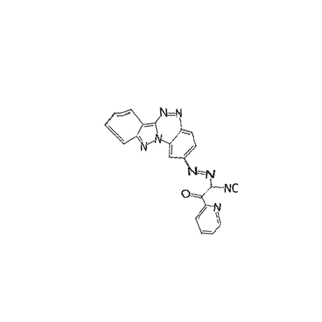 [C-]#[N+]C(/N=N/c1ccc2nnc3c4ccccc4nn3c2c1)C(=O)c1ccccn1